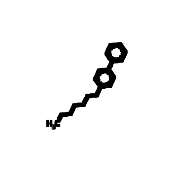 CCCCCCCc1ccc(-c2cc[c]cc2)cc1